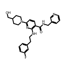 O=C(NCc1cccnc1)c1ccc(N2CCC(CO)CC2)nc1NCCc1cccc(F)c1